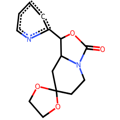 O=C1OC(c2ccccn2)C2CC3(CCN12)OCCO3